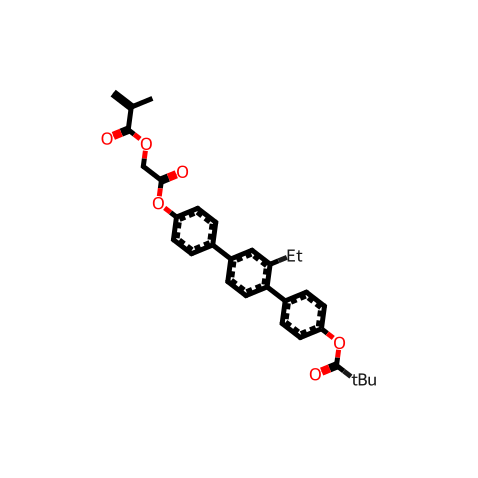 C=C(C)C(=O)OCC(=O)Oc1ccc(-c2ccc(-c3ccc(OC(=O)C(C)(C)C)cc3)c(CC)c2)cc1